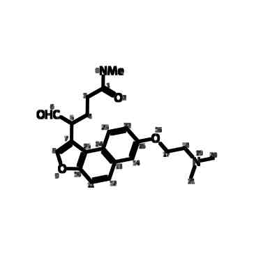 CNC(=O)CCC(C=O)c1coc2ccc3cc(OCCN(C)C)ccc3c12